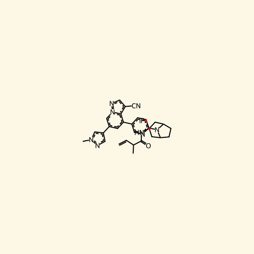 C=CC(C)C(=O)NC1(C(C)C)CC2CCC(C1)N2c1ccc(-c2cc(-c3cnn(C)c3)cn3ncc(C#N)c23)cn1